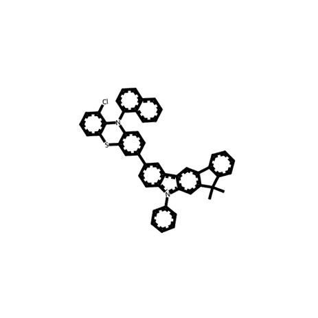 CC1(C)c2ccccc2-c2cc3c4cc(-c5ccc6c(c5)Sc5cccc(Cl)c5N6c5cccc6ccccc56)ccc4n(-c4ccccc4)c3cc21